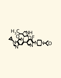 C[C@@H](Oc1nc(-c2cnc(N3CCN(C4COC4)CC3)c(F)c2)cc2ncn(C3CC3)c12)[C@H]1CNC(=O)C1